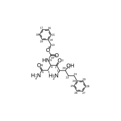 N[C](C(=O)C(CC(N)=O)NC(=O)OCc1ccccc1)C(O)CCc1ccccc1